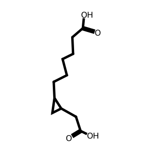 O=C(O)CCCCCC1CC1CC(=O)O